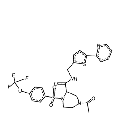 CC(=O)N1CCN(S(=O)(=O)c2ccc(OC(F)(F)F)cc2)[C@@H](C(=O)NCc2ccc(-c3ccccn3)s2)C1